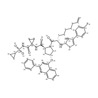 C=CCCCCC[C@H](NC1NC(c2ccc(F)cc2)=CS1)C(=O)N1C[C@H](Oc2nc(-c3ccccc3)nc3ccccc23)C[C@H]1C(=O)NC1(C(=O)NS(=O)(=O)C2CC2)CC1